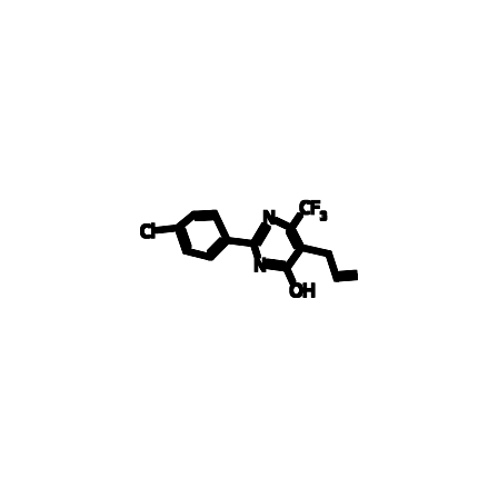 C=CCc1c(O)nc(-c2ccc(Cl)cc2)nc1C(F)(F)F